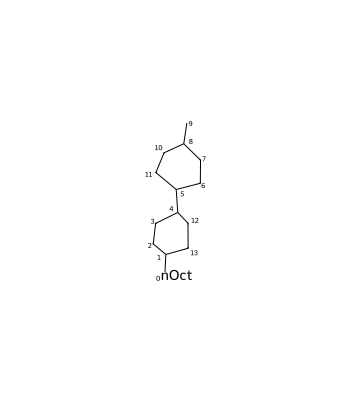 CCCCCCCCC1CCC(C2CCC(C)CC2)CC1